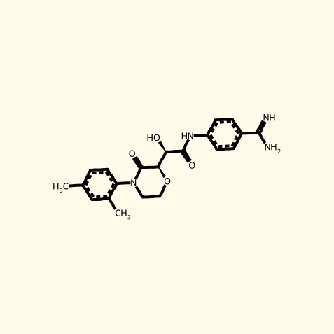 Cc1ccc(N2CCO[C@H]([C@@H](O)C(=O)Nc3ccc(C(=N)N)cc3)C2=O)c(C)c1